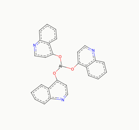 c1ccc2c([O][Al]([O]c3ccnc4ccccc34)[O]c3ccnc4ccccc34)ccnc2c1